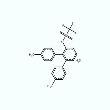 Cc1ccc(-c2cccc(OS(=O)(=O)C(F)(F)F)c2-c2ccc(C)cc2)cc1.S